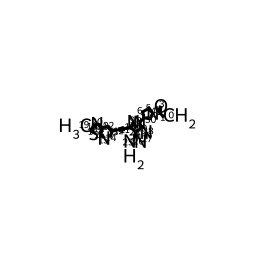 C=CC(=O)N1CCC(n2nc(C#Cc3cnc4sc(C)nc4c3)c3c(N)ncnc32)C1